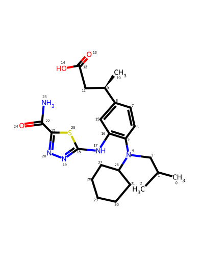 CC(C)CN(c1ccc([C@H](C)CC(=O)O)cc1Nc1nnc(C(N)=O)s1)C1CCCCC1